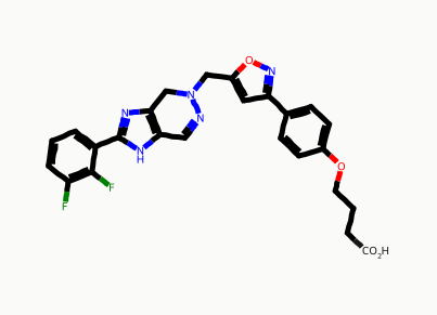 O=C(O)CCCOc1ccc(-c2cc(CN3Cc4nc(-c5cccc(F)c5F)[nH]c4C=N3)on2)cc1